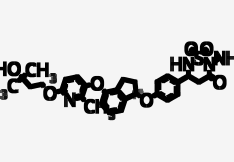 Cc1nc(OCCC(C)(C)O)ccc1Oc1cccc2c1CC[C@H]2Oc1ccc(C2CC(=O)N(N)S(=O)(=O)N2)cc1